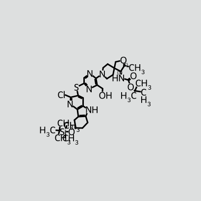 C[C@@H]1OCC2(CCN(c3ncc(Sc4cc5[nH]c6c(c5nc4Cl)CC(O[Si](C)(C)C(C)(C)C)CC6)nc3CO)CC2)[C@@H]1NC(=O)OC(C)(C)C